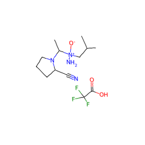 CC(C)C[N+](N)([O-])C(C)N1CCCC1C#N.O=C(O)C(F)(F)F